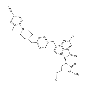 CNC(=O)C(CCC=O)N1C(=O)c2cc(Br)cc3c(Cc4ccc(CN5CCN(c6ccc(C#N)cc6F)CC5)cc4)ccc1c23